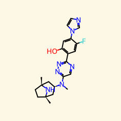 CN(c1cnc(-c2cc(F)c(-n3ccnc3)cc2O)nn1)[C@H]1C[C@]2(C)CC[C@](C)(C1)N2